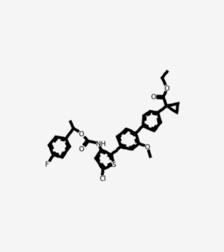 CCOC(=O)C1(c2ccc(-c3ccc(-c4sc(Cl)cc4NC(=O)OC(C)c4ccc(F)cc4)cc3OC)cc2)CC1